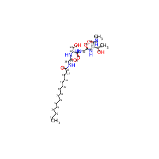 CCCCCCCCCCCCCCCC(=O)NCC(=O)N[C@@H](CO)C(=O)NCC(=O)N[C@H](C(=O)NC)[C@@H](C)O